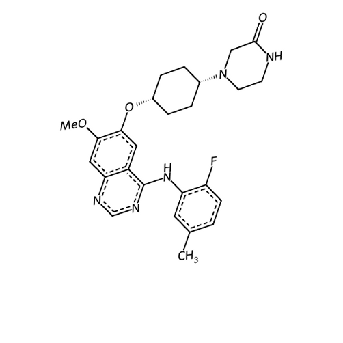 COc1cc2ncnc(Nc3cc(C)ccc3F)c2cc1O[C@H]1CC[C@@H](N2CCNC(=O)C2)CC1